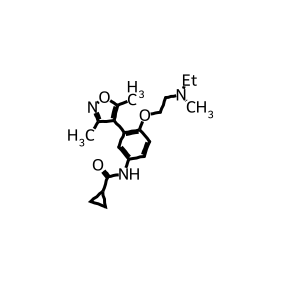 CCN(C)CCOc1ccc(NC(=O)C2CC2)cc1-c1c(C)noc1C